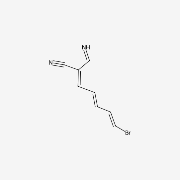 N#C/C(C=N)=C/C=C/C=C/Br